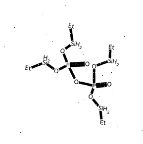 CC[SiH2]OP(=O)(O[SiH2]CC)OP(=O)(O[SiH2]CC)O[SiH2]CC